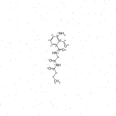 CCCC(=O)NC(=O)CNC(=O)c1cccc(N)c1C=O